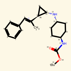 C/C(=C\c1ccccc1)[C@H]1C[C@@H]1N[C@H]1CC[C@H](NC(=O)OC(C)(C)C)CC1